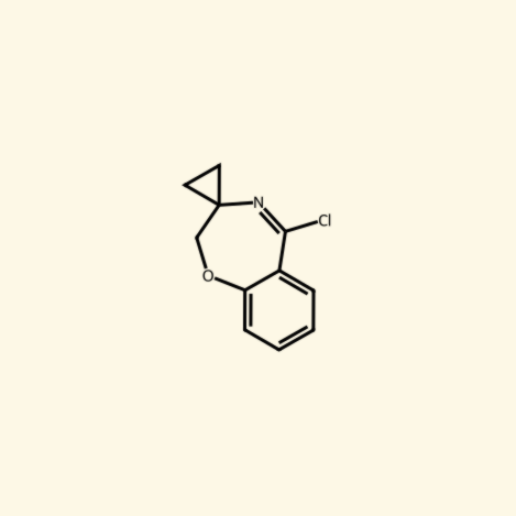 ClC1=NC2(CC2)COc2ccccc21